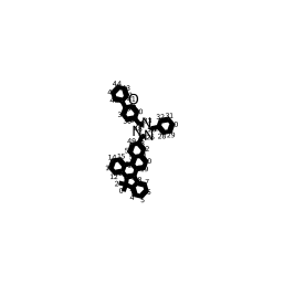 CC1(C)c2ccccc2-c2c1c1ccccc1c1c2ccc2cc(-c3nc(-c4ccccc4)nc(-c4ccc5c(c4)oc4ccccc45)n3)ccc21